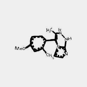 COc1ccc(C2=C(C)NNc3nccn32)c(C)c1